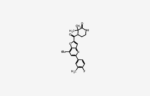 Cc1cc(-c2cc(C(C)(C)C)c3oc(C(=O)N4CCNC(=O)C4(C)C)cc3n2)ccc1F